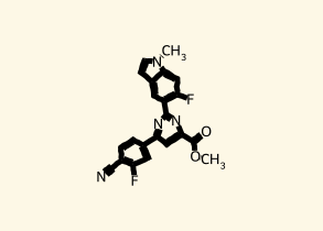 COC(=O)c1cc(-c2ccc(C#N)c(F)c2)nc(-c2cc3ccn(C)c3cc2F)n1